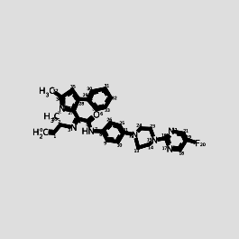 C=CCN=C(C(=O)Nc1ccc(N2CCN(c3ncc(F)cn3)CC2)cc1)c1c(-c2ccccc2)cc(C)n1C